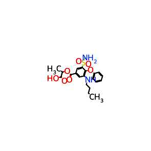 CCCCNc1cc(C(=O)OC(C)C(=O)O)cc(S(N)(=O)=O)c1Oc1ccccc1